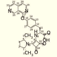 C[C@@H]1CC[C@H](C)N1c1c(N[C@@H](Cc2ccc(Oc3nccc4ccncc34)cc2)C(=O)O)c(=O)c1=O